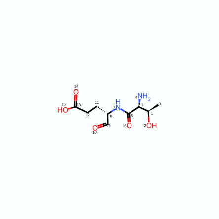 C[C@@H](O)[C@H](N)C(=O)N[C@H]([C]=O)CCC(=O)O